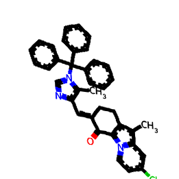 Cc1c2c(n3ccc(Cl)cc13)C(=O)C(=Cc1ncn(C(c3ccccc3)(c3ccccc3)c3ccccc3)c1C)CC2